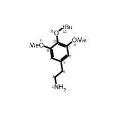 COc1cc(CCN)cc(OC)c1OC(C)(C)C